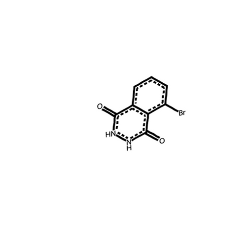 O=c1[nH][nH]c(=O)c2c(Br)cccc12